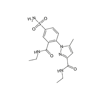 CCNC(=O)c1cc(C)n(-c2ccc(S(N)(=O)=O)cc2C(=O)NCC)n1